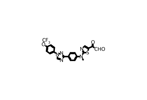 CN(c1ccc(-c2ncn(-c3ccc(OC(F)(F)F)cc3)n2)cc1)c1ncc(C(=O)C=O)s1